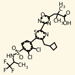 CC(NS(=O)(=O)c1ccc(-c2sc(-c3noc(CC(C)(C)C(=O)O)n3)nc2CC2CCC2)c(Cl)c1Cl)C(F)(F)F